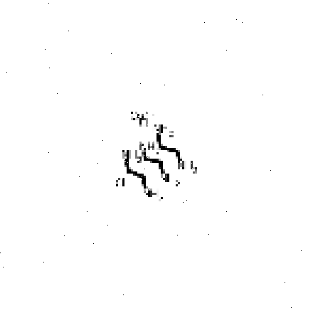 NCCN.NCCN.NCCN.[Cl-].[Cl-].[Co+2]